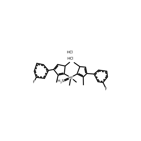 CC1=[C]([Hf]([CH3])([CH3])(=[SiH2])[C]2=C(C)C(c3cccc(F)c3)=CC2C)C(C)C=C1c1cccc(F)c1.Cl.Cl